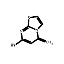 C=C1C=C(C(C)C)N=C2SC=CN12